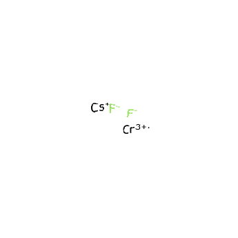 [Cr+3].[Cs+].[F-].[F-]